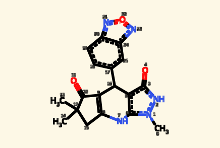 Cn1[nH]c(=O)c2c1NC1=C(C(=O)C(C)(C)C1)C2c1ccc2nonc2c1